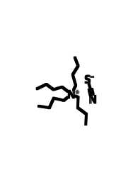 CCCC[N+](CCCC)(CCCC)CCCC.N#C[S-]